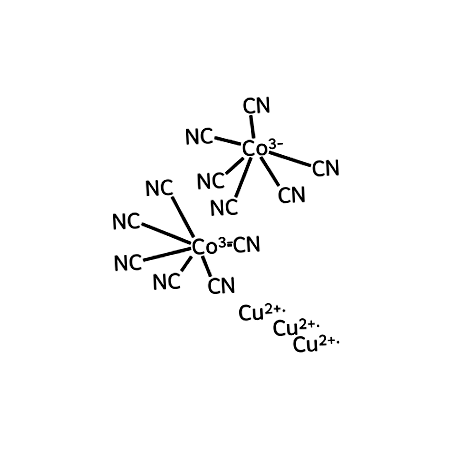 N#[C][Co-3]([C]#N)([C]#N)([C]#N)([C]#N)[C]#N.N#[C][Co-3]([C]#N)([C]#N)([C]#N)([C]#N)[C]#N.[Cu+2].[Cu+2].[Cu+2]